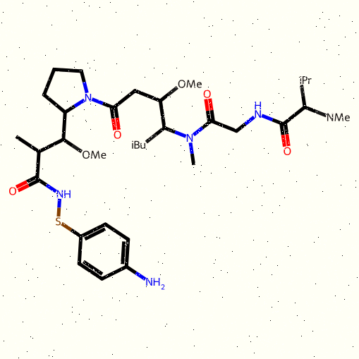 CCC(C)C(C(CC(=O)N1CCCC1C(OC)C(C)C(=O)NSc1ccc(N)cc1)OC)N(C)C(=O)CNC(=O)C(NC)C(C)C